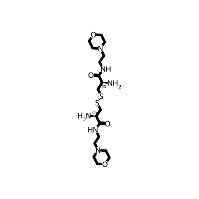 N[C@@H](CSSC[C@H](N)C(=O)NCCN1CCOCC1)C(=O)NCCN1CCOCC1